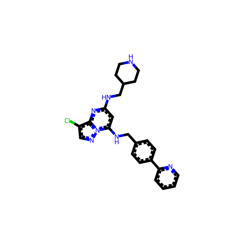 Clc1cnn2c(NCc3ccc(-c4ccccn4)cc3)cc(NCC3CCNCC3)nc12